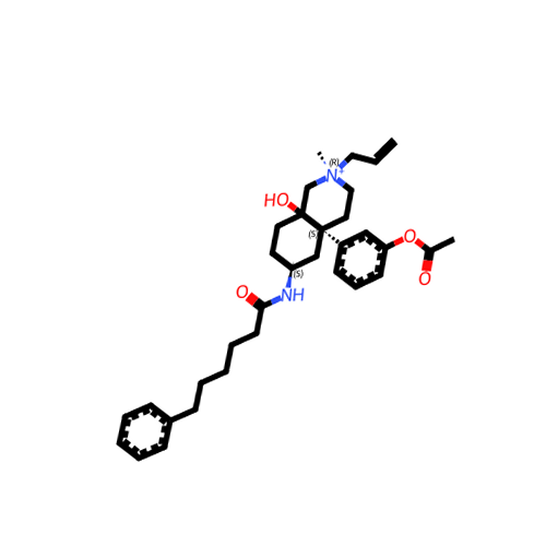 C=CC[N@@+]1(C)CC[C@@]2(c3cccc(OC(C)=O)c3)C[C@@H](NC(=O)CCCCCc3ccccc3)CCC2(O)C1